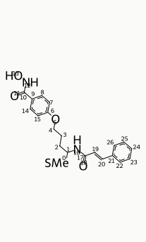 CSC(CCCOc1ccc(C(=O)NO)cc1)NC(=O)/C=C/c1ccccc1